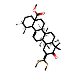 COC(=O)C12CC[C@@H](C)[C@H](C)C1C1=CC[C@@H]3[C@@]4(C)CC(=C(SC)SC)C(=O)C(C)(C)[C@@H]4CC[C@@]3(C)[C@]1(C)CC2